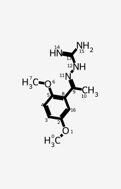 COc1ccc(OC)c(C(C)=NNC(=N)N)c1